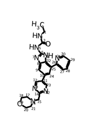 CCNC(=O)Nc1nc2cc(-c3cnc(CN4CCOCC4)nc3)cc(-c3ccccn3)c2[nH]1